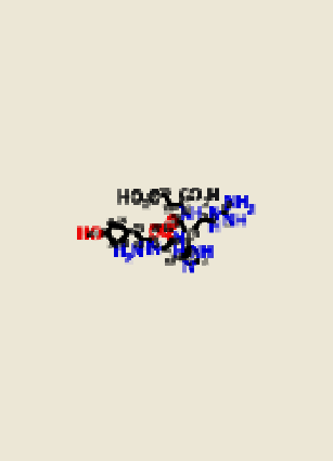 N=C(N)NCCC[C@H](NC(=O)[C@H](Cc1c[nH]cn1)NC(=O)[C@@H](N)Cc1ccc(O)cc1)C(=O)N[C@@H](CCC(=O)O)C(=O)O